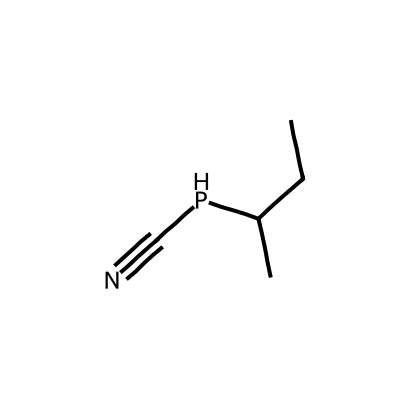 CCC(C)PC#N